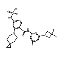 Cc1cc(NC(=O)c2ccc(NS(=O)(=O)C(C)C)cc2N2CCC3(CC2)CC3)nc(N2CC(F)(F)C2)c1